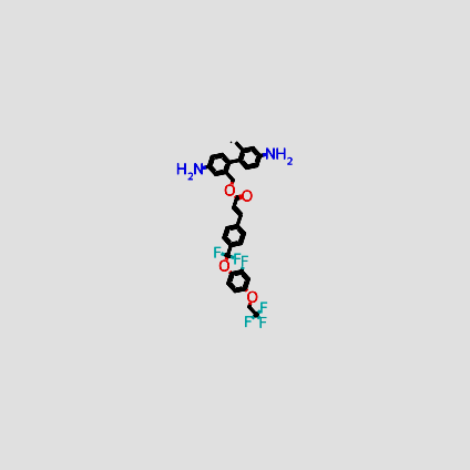 [CH2]c1cc(N)ccc1-c1ccc(N)cc1COC(=O)/C=C/c1ccc(C(F)(F)Oc2ccc(OCC(F)(F)F)cc2F)cc1